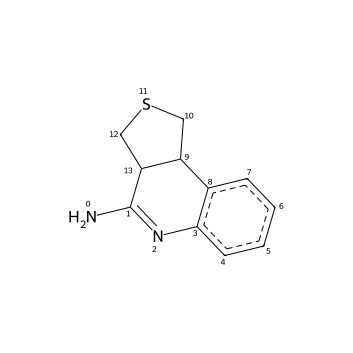 NC1=Nc2ccccc2C2CSCC12